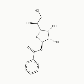 O=C(O[C@H]1O[C@H]([C@@H](O)CO)[C@H](O)[C@@H]1O)c1ccccc1